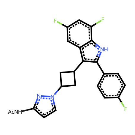 CC(=O)Nc1ccn(C2CC(c3c(-c4ccc(F)cc4)[nH]c4c(F)cc(F)cc34)C2)n1